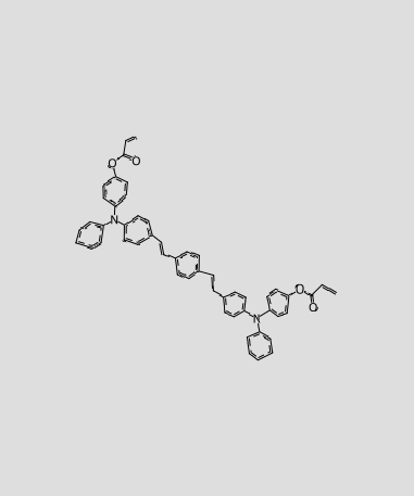 C=CC(=O)Oc1ccc(N(c2ccccc2)c2ccc(C=Cc3ccc(C=Cc4ccc(N(c5ccccc5)c5ccc(OC(=O)C=C)cc5)cc4)cc3)cc2)cc1